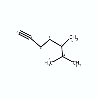 [C]#CCCC(C)C(C)C